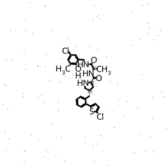 Cc1cc(Cl)cc(CNC(=O)[C@H](C)NC(=O)[C@H]2C[C@H](Cc3ccccc3-c3ccc(Cl)s3)CN2)c1O